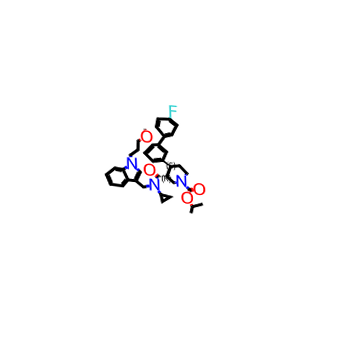 COCCCn1cc(CN(C(=O)[C@H]2CN(C(=O)OC(C)C)CC[C@@H]2c2cccc(-c3ccc(F)cc3)c2)C2CC2)c2ccccc21